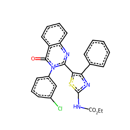 CCOC(=O)Nc1nc(-c2ccccc2)c(-c2nc3ccccc3c(=O)n2-c2cccc(Cl)c2)s1